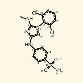 CNc1nc(Nc2ccc(S(N)(=O)=O)cc2)nn1-c1c(Cl)cccc1Cl